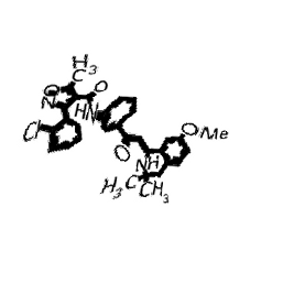 COc1ccc2c(c1)C(=CC(=O)c1cccc(NC(=O)c3c(-c4ccccc4Cl)noc3C)c1)NC(C)(C)C2